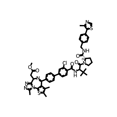 COC(=O)CC1N=C(c2ccc(-c3ccc(C(=O)NC(C(=O)N4CCC[C@H]4C(=O)NCc4ccc(-c5scnc5C)cc4)C(C)(C)C)c(Cl)c3)cc2)c2c(sc(C)c2C)-n2c(C)nnc21